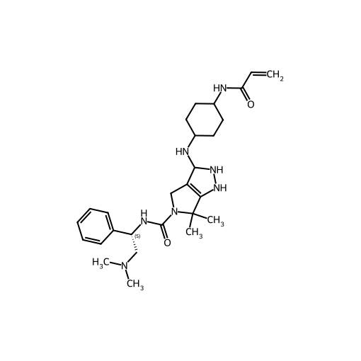 C=CC(=O)NC1CCC(NC2NNC3=C2CN(C(=O)N[C@H](CN(C)C)c2ccccc2)C3(C)C)CC1